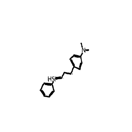 CN(C)c1ccc([CH]C[C]=[SiH]c2ccccc2)cc1